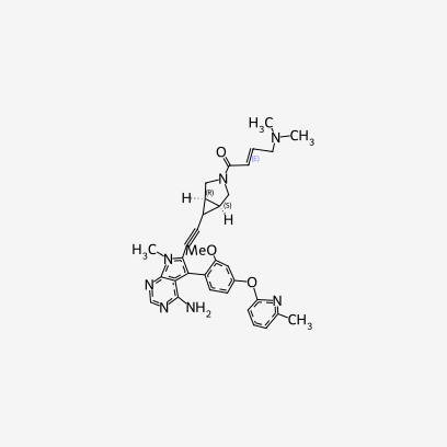 COc1cc(Oc2cccc(C)n2)ccc1-c1c(C#CC2[C@H]3CN(C(=O)/C=C/CN(C)C)C[C@@H]23)n(C)c2ncnc(N)c12